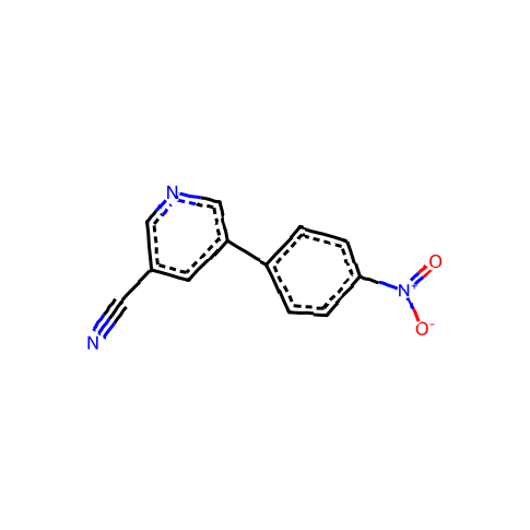 N#Cc1cncc(-c2ccc([N+](=O)[O-])cc2)c1